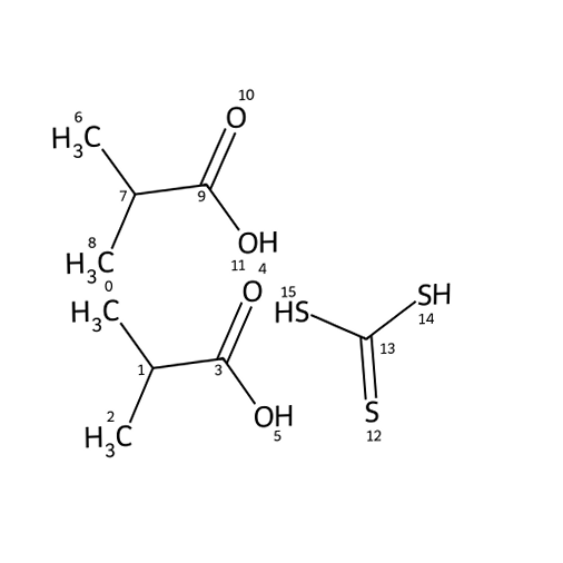 CC(C)C(=O)O.CC(C)C(=O)O.S=C(S)S